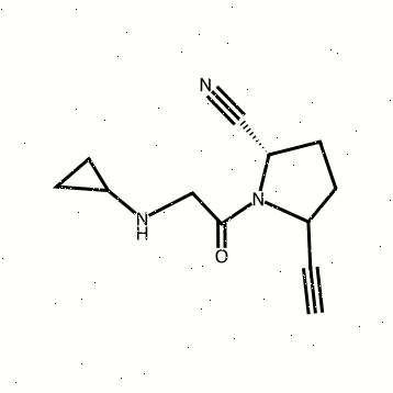 C#CC1CC[C@@H](C#N)N1C(=O)CNC1CC1